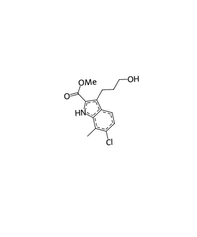 COC(=O)c1[nH]c2c(C)c(Cl)ccc2c1CCCO